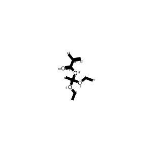 [CH2]C(OCC)(OCC)OC(=O)C(=C)C